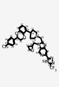 FC(F)(F)c1nnc(-c2cc3nc(CN4CCC(c5cccc6c5OCC(c5ccc(Cl)cc5)O6)CC4)n(CC4CCO4)c3cn2)[nH]1